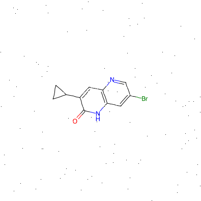 O=c1[nH]c2cc(Br)cnc2cc1C1CC1